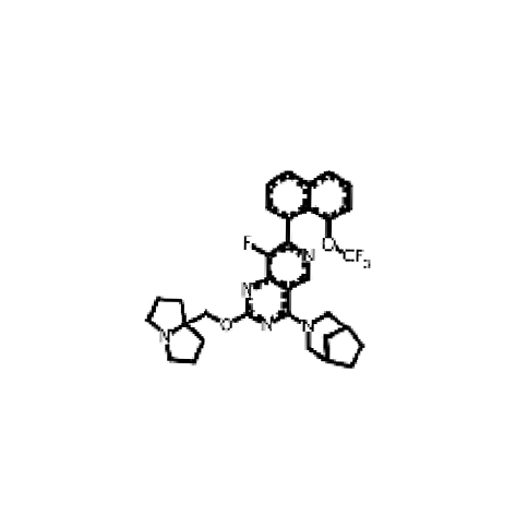 Fc1c(-c2cccc3cccc(OC(F)(F)F)c23)ncc2c(N3CC4CCC(C4)C3)nc(OCC34CCCN3CCC4)nc12